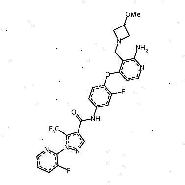 COC1CN(Cc2c(Oc3ccc(NC(=O)c4cnn(-c5ncccc5F)c4C(F)(F)F)cc3F)ccnc2N)C1